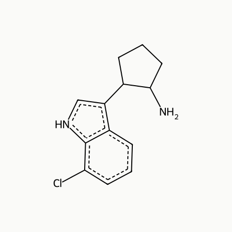 NC1CCCC1c1c[nH]c2c(Cl)cccc12